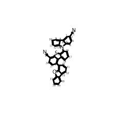 N#Cc1ccc2c(c1)c1ccccc1n2-c1cccc2c1sc1c(C#N)ccc(-c3cccc4c3oc3ccccc34)c12